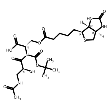 CC(=O)NC[C@H](S)C(=O)N(C(=O)OC(C)(C)C)[C@@H](COC(=O)CCCC[C@@H]1SC[C@@H]2NC(=O)N[C@@H]21)C(=O)O